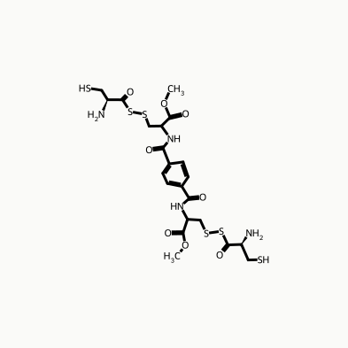 COC(=O)C(CSSC(=O)[C@@H](N)CS)NC(=O)c1ccc(C(=O)NC(CSSC(=O)[C@@H](N)CS)C(=O)OC)cc1